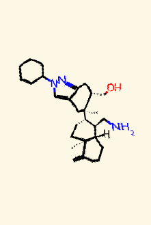 C=C1CC[C@H]2[C@H](CN)[C@@H]([C@@]3(C)Cc4cn(C5CCCCC5)nc4C[C@@H]3CO)CC[C@]12C